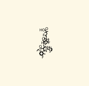 CCOC(=O)C1=C(CN2CC(F)(F)[C@H]3[C@@H]2CON3C[C@@H](F)CC(C)(C)C(=O)O)NC(c2nccs2)=N[C@H]1c1cccc(F)c1C